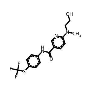 CN(CCO)c1ccc(C(=O)Nc2ccc(SC(F)(F)F)cc2)cn1